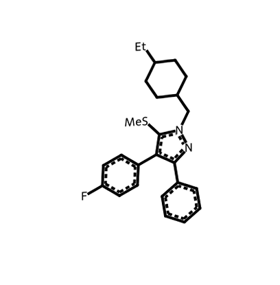 CCC1CCC(Cn2nc(-c3ccccc3)c(-c3ccc(F)cc3)c2SC)CC1